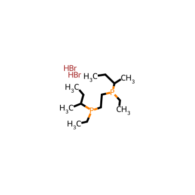 Br.Br.CCC(C)P(CC)CCP(CC)C(C)CC